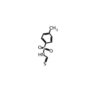 Cc1ccc(S(=O)(=O)NC=S)cc1